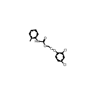 Cc1ccccc1NC(=O)OCCOc1ccc(Cl)cc1Cl